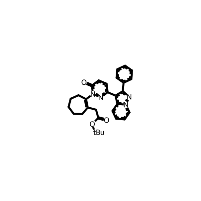 CC(C)(C)OC(=O)CC1=C(n2nc(-c3c(-c4ccccc4)nn4ccccc34)ccc2=O)CCCCC1